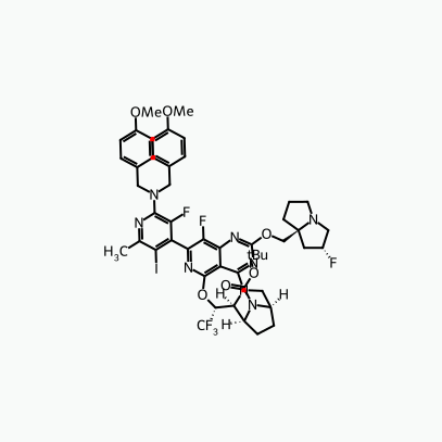 COc1ccc(CN(Cc2ccc(OC)cc2)c2nc(C)c(I)c(-c3nc4c5c(nc(OC[C@@]67CCCN6C[C@H](F)C7)nc5c3F)N3C[C@H]5CC[C@@H]([C@H]3[C@H](C(F)(F)F)O4)N5C(=O)OC(C)(C)C)c2F)cc1